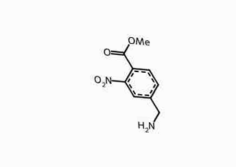 COC(=O)c1ccc(CN)cc1[N+](=O)[O-]